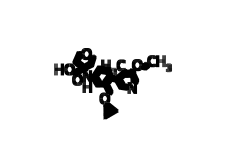 CCOc1cncc(-c2ccc(NC3(C(=O)O)CCOCC3)cc2COC2CC2)c1C